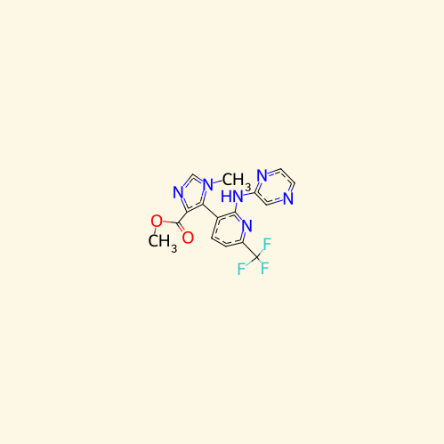 COC(=O)c1ncn(C)c1-c1ccc(C(F)(F)F)nc1Nc1cnccn1